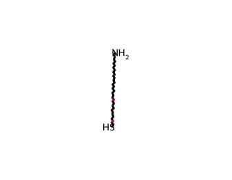 NCCCCCCCCCCCCCCCCCCCCCCCCCCCCCCCCCCS